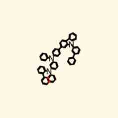 c1ccc(-c2cccc(-n3c4ccccc4c4ccc(-c5ccc(N(c6ccccc6)c6cccc(N(c7ccccc7)c7ccccc7-c7ccccc7)c6)cc5)cc43)c2)cc1